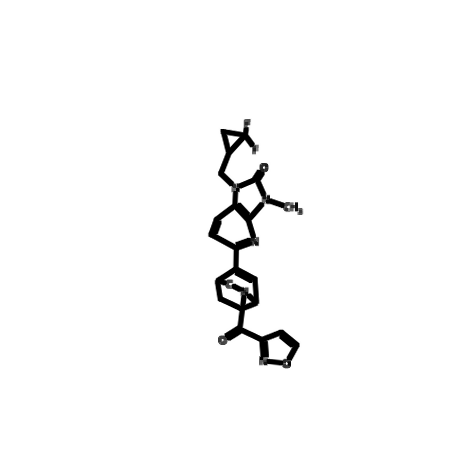 Cn1c(=O)n(CC2CC2(F)F)c2ccc(C3=CC4CCC3CN4C(=O)c3ccon3)nc21